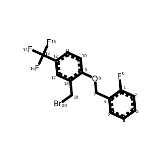 Fc1ccccc1COc1ccc(C(F)(F)F)cc1CBr